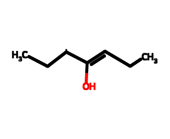 CC[CH]/C(O)=C/CC